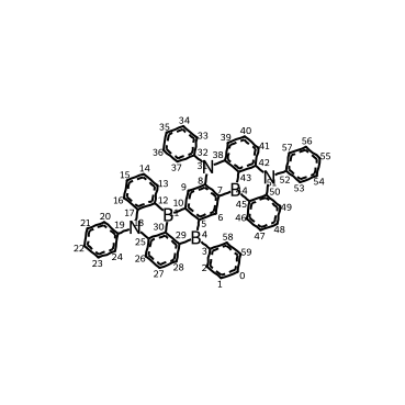 c1ccc(B2c3cc4c(cc3B3c5ccccc5N(c5ccccc5)c5cccc2c53)N(c2ccccc2)c2cccc3c2B4c2ccccc2N3c2ccccc2)cc1